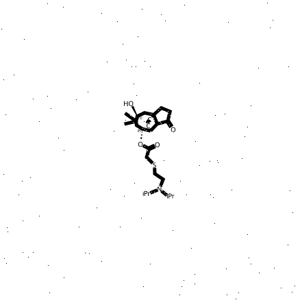 CC(C)N(CCSCC(=O)O[C@@H]1CC(C)(C)[C@@H](O)CC23CCCC1C2C(=O)CC3)C(C)C